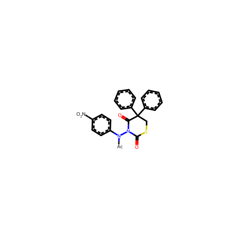 CC(=O)N(c1ccc([N+](=O)[O-])cc1)N1C(=O)SCC(c2ccccc2)(c2ccccc2)C1=O